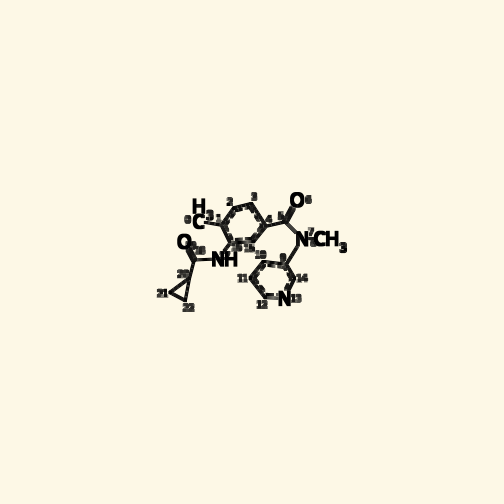 Cc1ccc(C(=O)N(C)c2cccnc2)cc1NC(=O)C1CC1